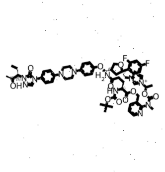 CC[C@@H]([C@H](C)O)n1ncn(-c2ccc(N3CCN(c4ccc(OC[C@@H]5CO[C@@](Cn6c[n+](C(C)OC(=O)N(C)c7ncccc7COC(=O)[C@H](CCC(N)=O)NC(=O)OC(C)(C)C)cn6)(c6ccc(F)cc6F)C5)cc4)CC3)cc2)c1=O